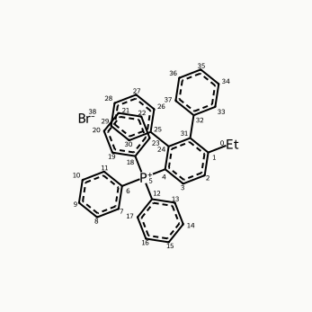 CCc1ccc([P+](c2ccccc2)(c2ccccc2)c2ccccc2)c(-c2ccccc2)c1-c1ccccc1.[Br-]